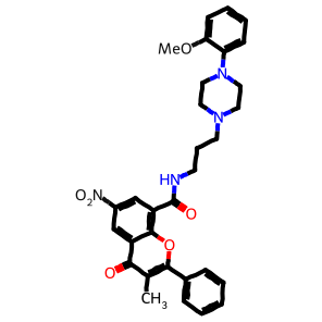 COc1ccccc1N1CCN(CCCNC(=O)c2cc([N+](=O)[O-])cc3c(=O)c(C)c(-c4ccccc4)oc23)CC1